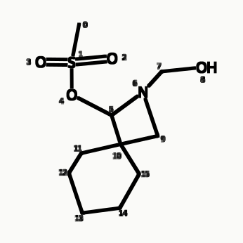 CS(=O)(=O)OC1N(CO)CC12CCCCC2